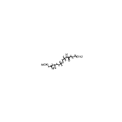 CC(C)(COC(C)(C)CCn1cc(COC#N)nn1)NC(=O)COCC=O